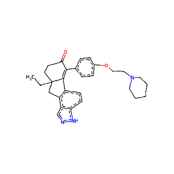 CCC12CCC(=O)C(c3ccc(OCCN4CCCCC4)cc3)=C1c1ccc3[nH]ncc3c1C2